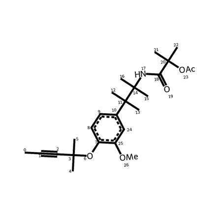 CC#CC(C)(C)Oc1ccc(C(C)(C)C(C)(C)NC(=O)C(C)(C)OC(C)=O)cc1OC